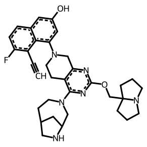 C#Cc1c(F)ccc2cc(O)cc(N3CCc4c(nc(OCC56CCCN5CCC6)nc4N4CCC5CNC(C5)C4)C3)c12